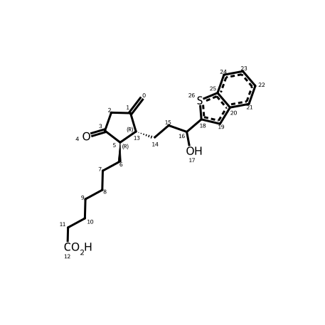 C=C1CC(=O)[C@H](CCCCCCC(=O)O)[C@H]1CCC(O)c1cc2ccccc2s1